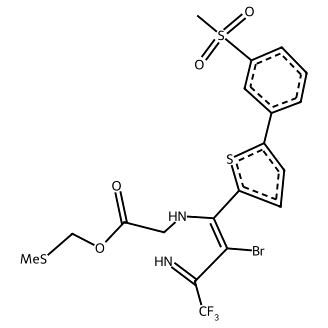 CSCOC(=O)CN/C(=C(/Br)C(=N)C(F)(F)F)c1ccc(-c2cccc(S(C)(=O)=O)c2)s1